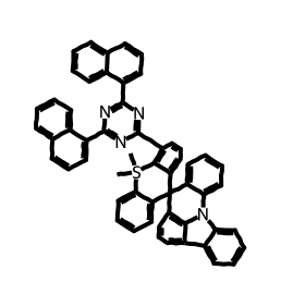 CS1(C)c2ccccc2C2(c3ccccc3-n3c4ccccc4c4cccc2c43)c2cccc(-c3nc(-c4cccc5ccccc45)nc(-c4cccc5ccccc45)n3)c21